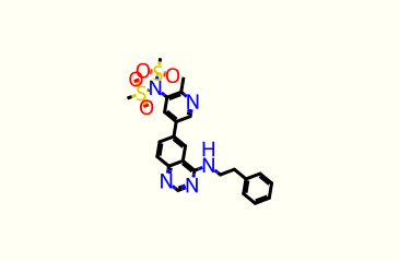 Cc1ncc(-c2ccc3ncnc(NCCc4ccccc4)c3c2)cc1N(S(C)(=O)=O)S(C)(=O)=O